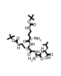 CC(C)C[C@H](NC(=O)[C@H](N)NC(=O)[C@H](CCNC(=O)OC(C)(C)C)NC(=O)[C@@H](N)CCNC(=O)OC(C)(C)C)C(=O)O